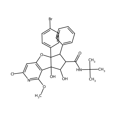 COc1nc(Cl)cc2c1C1(O)C(O)C(C(=O)NC(C)(C)C)C(c3ccccc3)C1(c1ccc(Br)cc1)O2